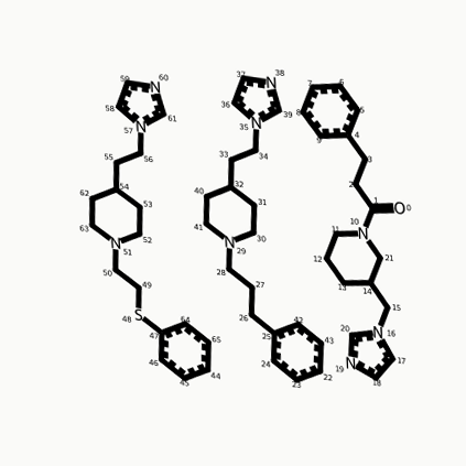 O=C(CCc1ccccc1)N1CCCC(Cn2ccnc2)C1.c1ccc(CCCN2CCC(CCn3ccnc3)CC2)cc1.c1ccc(SCCN2CCC(CCn3ccnc3)CC2)cc1